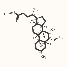 CC[C@H]1[C@@H](O)[C@@H]2[C@H](CC[C@]3(C)[C@@H]([C@H](C)CCC(=O)OC)CC[C@@H]23)[C@@]2(C)CC[C@@H](C)C[C@@H]12